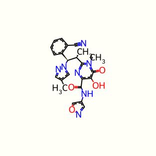 Cc1cnn([C@@H](c2ccccc2C#N)[C@@H](C)c2nc(C(=O)Nc3cnoc3)c(O)c(=O)n2C)c1